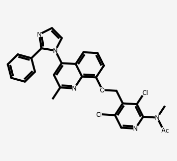 CC(=O)N(C)c1ncc(Cl)c(COc2cccc3c(-n4ccnc4-c4ccccc4)cc(C)nc23)c1Cl